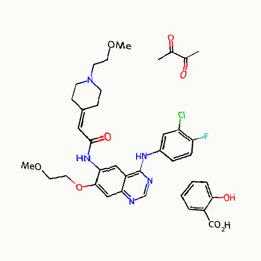 CC(=O)C(C)=O.COCCOc1cc2ncnc(Nc3ccc(F)c(Cl)c3)c2cc1NC(=O)C=C1CCN(CCOC)CC1.O=C(O)c1ccccc1O